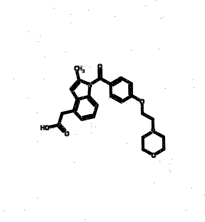 Cc1cc2c(CC(=O)O)cccc2n1C(=O)c1ccc(OCCN2CCOCC2)cc1